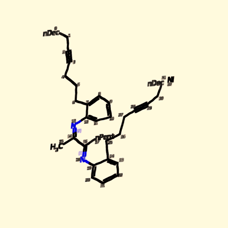 CCCCCCCCCCCC#CCCCc1ccccc1/N=C(C)\C(CCCCC)=N\c1ccccc1CCCC#CCCCCCCCCCCC.[Ni]